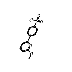 COc1cccc(-c2ccc(S(=O)(=O)Cl)cc2)n1